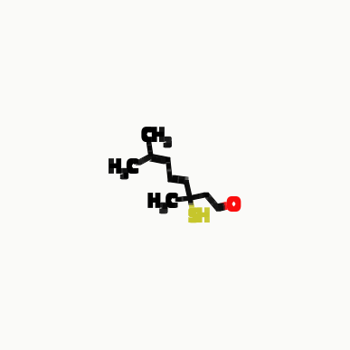 CC(C)=CC=CC(C)(S)CC=O